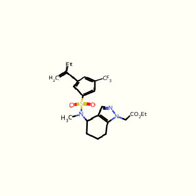 C=C(CC)c1cc(C(F)(F)F)cc(S(=O)(=O)N(C)C2CCCc3c2cnn3CC(=O)OCC)c1